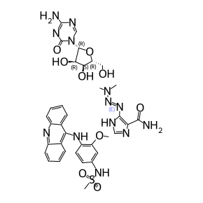 CN(C)/N=N/c1[nH]cnc1C(N)=O.COc1cc(NS(C)(=O)=O)ccc1Nc1c2ccccc2nc2ccccc12.Nc1ncn([C@@H]2O[C@H](CO)[C@@H](O)[C@H]2O)c(=O)n1